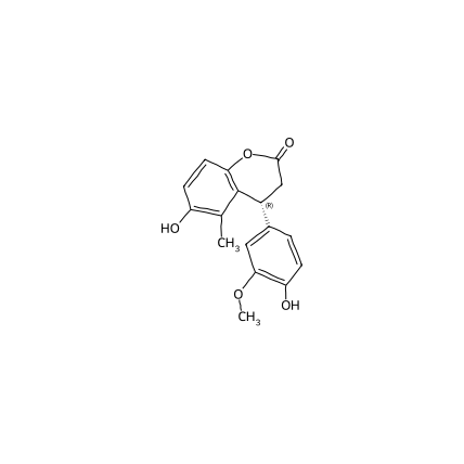 COc1cc([C@H]2CC(=O)Oc3ccc(O)c(C)c32)ccc1O